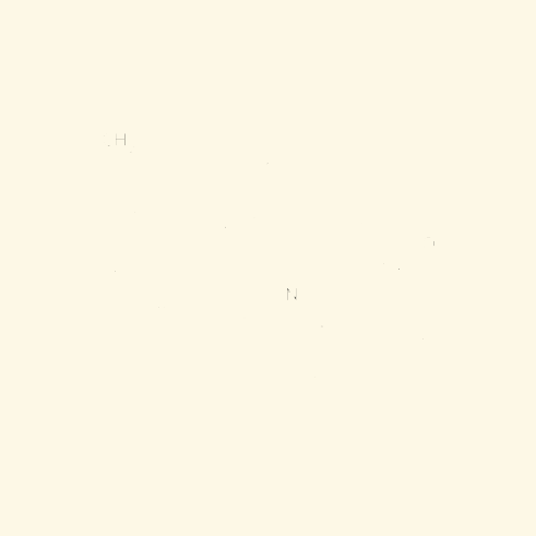 C=Cc1ccc(Cn2c3ccccc3c(=O)c3ccccc32)cc1